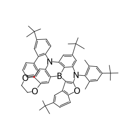 Cc1cc(C(C)(C)C)cc(C)c1N1c2cc(C(C)(C)C)cc3c2B(c2cc4c(cc2N3c2ccc(C(C)(C)C)cc2-c2ccccc2)OCCO4)c2c1oc1ccc(C(C)(C)C)cc21